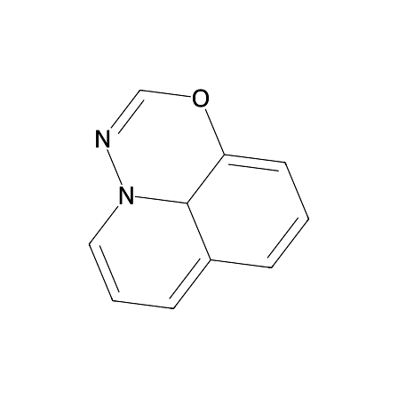 C1=CC2=CC=CN3N=COC(=C1)C23